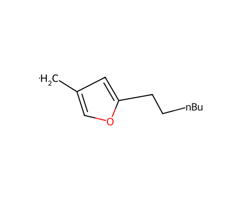 [CH2]c1coc(CCCCCC)c1